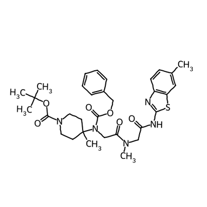 Cc1ccc2nc(NC(=O)CN(C)C(=O)CN(C(=O)OCc3ccccc3)C3(C)CCN(C(=O)OC(C)(C)C)CC3)sc2c1